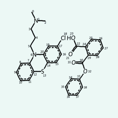 CN(C)CCCN1c2ccccc2Sc2ccc(Cl)cc21.O=C(O)c1ccccc1C(=O)Oc1ccccc1